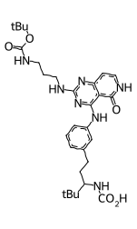 CC(C)(C)OC(=O)NCCCNc1nc(Nc2cccc(CCC(NC(=O)O)C(C)(C)C)c2)c2c(=O)[nH]ccc2n1